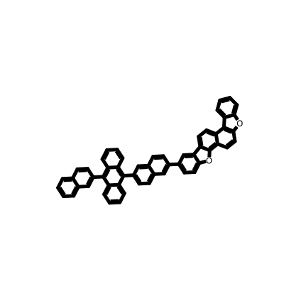 c1ccc2cc(-c3c4ccccc4c(-c4ccc5cc(-c6ccc7oc8c(ccc9c8ccc8oc%10ccccc%10c89)c7c6)ccc5c4)c4ccccc34)ccc2c1